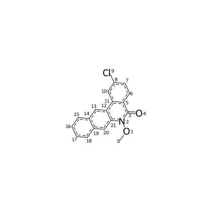 COn1c(=O)c2ccc(Cl)cc2c2cc3ccccc3cc21